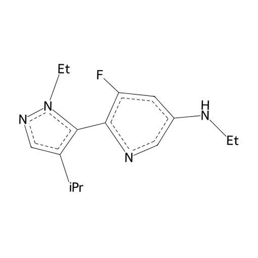 CCNc1cnc(-c2c(C(C)C)cnn2CC)c(F)c1